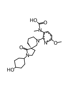 COc1ccc(N(C)C(=O)O)c(N2CCC[C@]3(CCN(C4CCC(O)CC4)C3=O)C2)n1